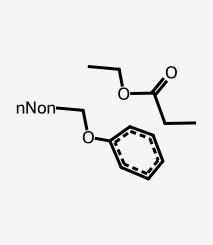 CCCCCCCCCCOc1ccccc1.CCOC(=O)CC